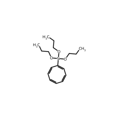 CCCO[Si](OCCC)(OCCC)C1=CC=CC=CC=C1